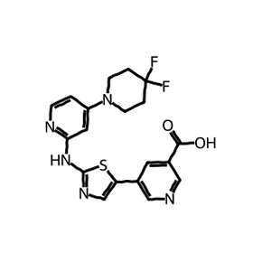 O=C(O)c1cncc(-c2cnc(Nc3cc(N4CCC(F)(F)CC4)ccn3)s2)c1